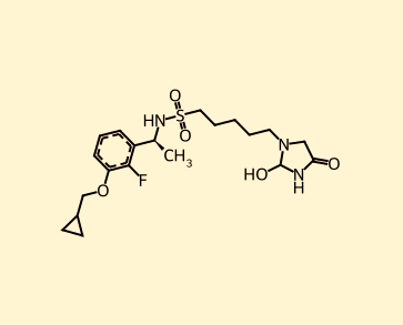 C[C@H](NS(=O)(=O)CCCCCN1CC(=O)NC1O)c1cccc(OCC2CC2)c1F